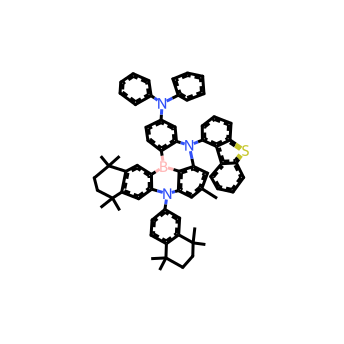 Cc1cc2c3c(c1)N(c1cccc4sc5ccccc5c14)c1cc(N(c4ccccc4)c4ccccc4)ccc1B3c1cc3c(cc1N2c1ccc2c(c1)C(C)(C)CCC2(C)C)C(C)(C)CCC3(C)C